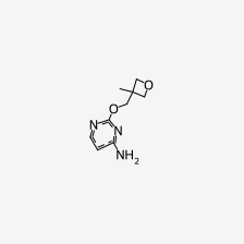 CC1(COc2nccc(N)n2)COC1